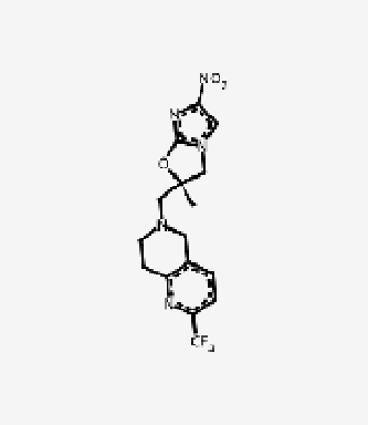 C[C@]1(CN2CCc3nc(C(F)(F)F)ccc3C2)Cn2cc([N+](=O)[O-])nc2O1